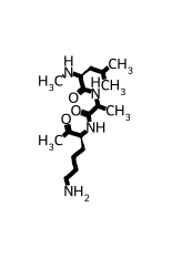 CN[C@@H](CC(C)C)C(=O)NC(C)C(=O)N[C@@H](CCCCN)C(C)=O